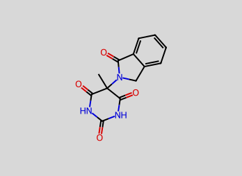 CC1(N2Cc3ccccc3C2=O)C(=O)NC(=O)NC1=O